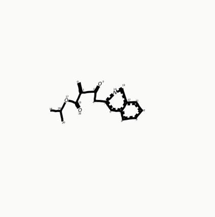 C=C(C(=O)Cc1cc2ccccc2cn1)C(=O)OC(C)C